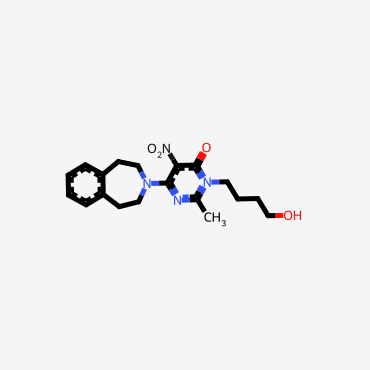 Cc1nc(N2CCc3ccccc3CC2)c([N+](=O)[O-])c(=O)n1CCCCO